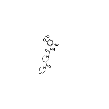 CC(=O)c1cc2c(cc1NC(=O)CN1CCCC(C(=O)N3CCOCC3)C1)OCO2